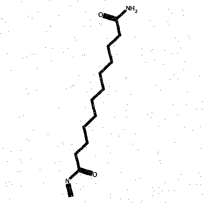 C=NC(=O)CCCCCCCCCCC(N)=O